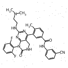 Cc1ccc(C(=O)Nc2cccc(C#N)c2)cc1-c1nc(NCCN(C)C)nc2c1CNC(=O)N2c1c(F)cccc1F